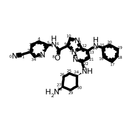 N#Cc1ccc(NC(=O)c2cnc3c(Nc4ccccc4)cc(N[C@H]4CC[C@H](N)CC4)nn23)nc1